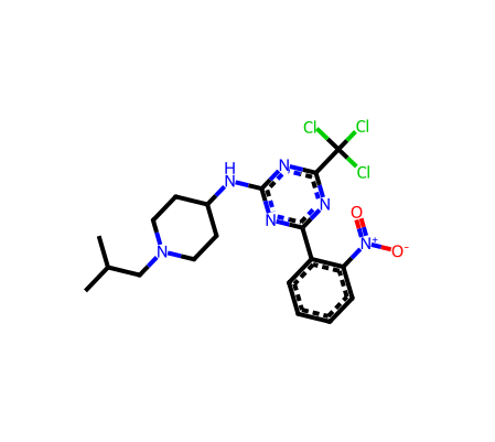 CC(C)CN1CCC(Nc2nc(-c3ccccc3[N+](=O)[O-])nc(C(Cl)(Cl)Cl)n2)CC1